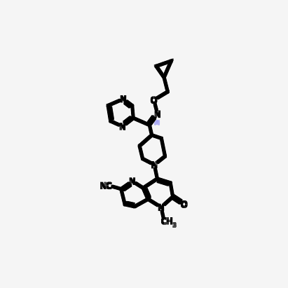 Cn1c(=O)cc(N2CCC(/C(=N/OCC3CC3)c3cnccn3)CC2)c2nc(C#N)ccc21